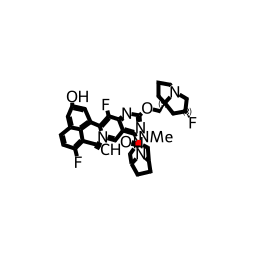 C#Cc1c(F)ccc2cc(O)cc(-c3ncc4c(N5CC6CCC(C5)N6C(=O)NC)nc(OC[C@@]56CCCN5C[C@H](F)C6)nc4c3F)c12